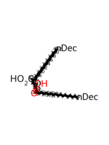 CCCCCCCCCCCCCCCCCCCCCCCCCCCC(=O)OCC(O)CC(CCCCCCCCCCCCCCCCCCCCCCCCCC)C(=O)O